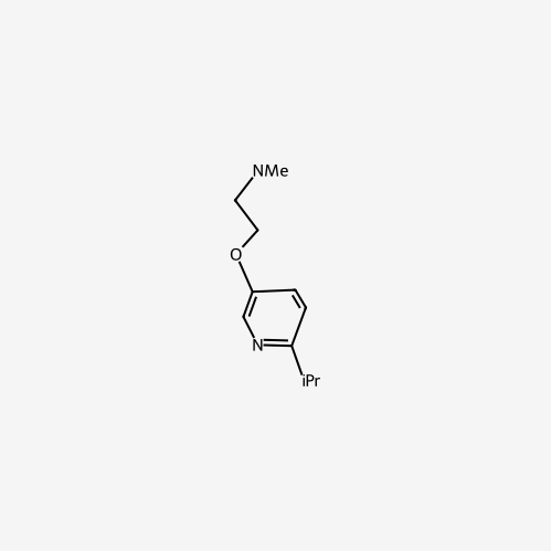 CNCCOc1ccc(C(C)C)nc1